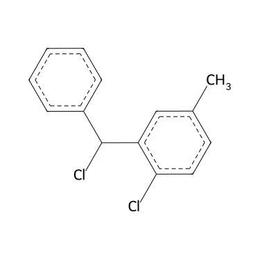 Cc1ccc(Cl)c(C(Cl)c2ccccc2)c1